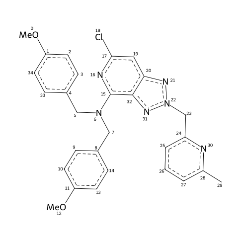 COc1ccc(CN(Cc2ccc(OC)cc2)c2nc(Cl)cc3nn(Cc4cccc(C)n4)nc23)cc1